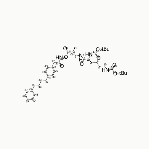 C[C@@H](CNC(=O)[C@H](CCCCNC(=O)OC(C)(C)C)NC(=O)OC(C)(C)C)C(=O)ONC(=O)Cc1ccc(CCCCc2ccccc2)cc1